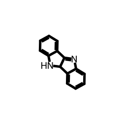 c1ccc2c(c1)N=C1c3ccccc3NC12